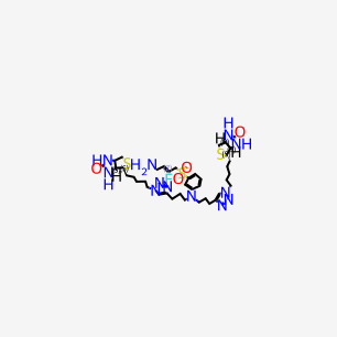 NC/C=C(\F)CS(=O)(=O)c1cccc(N(CCCc2cn(CCCCC[C@@H]3SC[C@@H]4NC(=O)N[C@@H]43)nn2)CCCc2cn(CCCCC[C@@H]3SCC4NC(=O)N[C@@H]43)nn2)c1